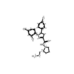 COC[C@H]1CCCN1NC(=O)C1=NN(c2ccc(Cl)cc2Cl)C(c2ccc(Cl)cc2)C1